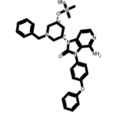 CC(C)(C)[Si](C)(C)O[C@@H]1C[C@H](n2c(=O)n(-c3ccc(Oc4ccccc4)cc3)c3c(N)nccc32)CN(Cc2ccccc2)C1